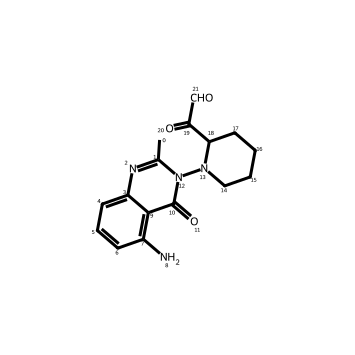 Cc1nc2cccc(N)c2c(=O)n1N1CCCCC1C(=O)C=O